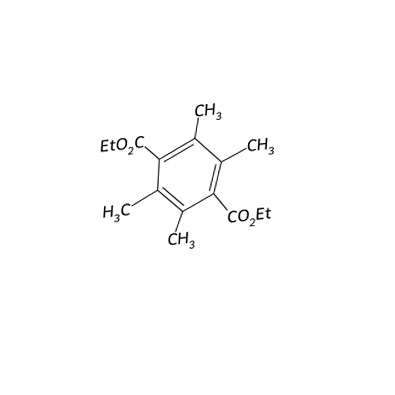 CCOC(=O)c1c(C)c(C)c(C(=O)OCC)c(C)c1C